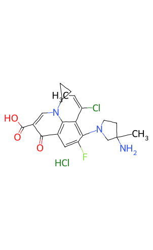 C/C=C(/Cl)c1c(N2CCC(C)(N)C2)c(F)cc2c(=O)c(C(=O)O)cn(C3CC3)c12.Cl